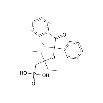 CCC(CC)(CP(=O)(O)O)OC(CC)(C(=O)c1ccccc1)c1ccccc1